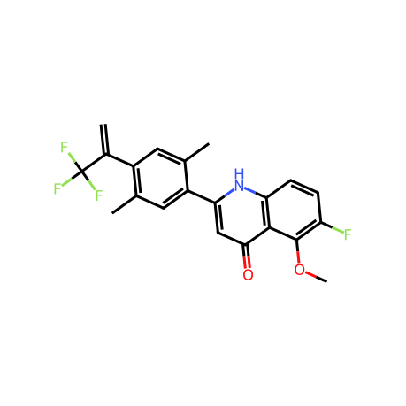 C=C(c1cc(C)c(-c2cc(=O)c3c(OC)c(F)ccc3[nH]2)cc1C)C(F)(F)F